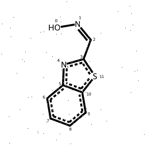 O/N=C\c1nc2ccccc2s1